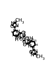 Cc1noc([C@@H]2CC[C@@H]3CN2C(=O)N3OS(=O)(=O)ON2C(=O)N3C[C@H]2CC[C@H]3c2nc(C)no2)n1